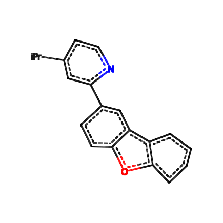 CC(C)c1ccnc(-c2ccc3oc4ccccc4c3c2)c1